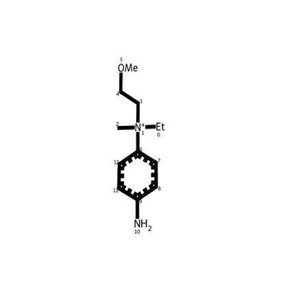 CC[N+](C)(CCOC)c1ccc(N)cc1